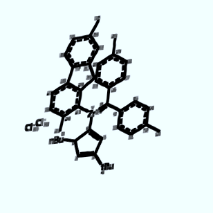 CCCCC1C=C(C(C)(C)C)C=[C]1[Zr+2](=[C](c1ccc(C)cc1)c1ccc(C)cc1)[c]1c(C)ccc2c1Cc1cc(C)ccc1-2.[Cl-].[Cl-]